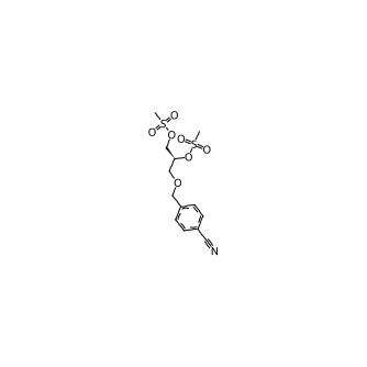 CS(=O)(=O)OC[C@H](COCc1ccc(C#N)cc1)OS(C)(=O)=O